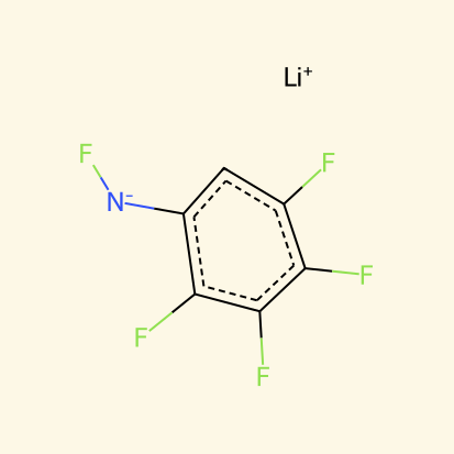 F[N-]c1cc(F)c(F)c(F)c1F.[Li+]